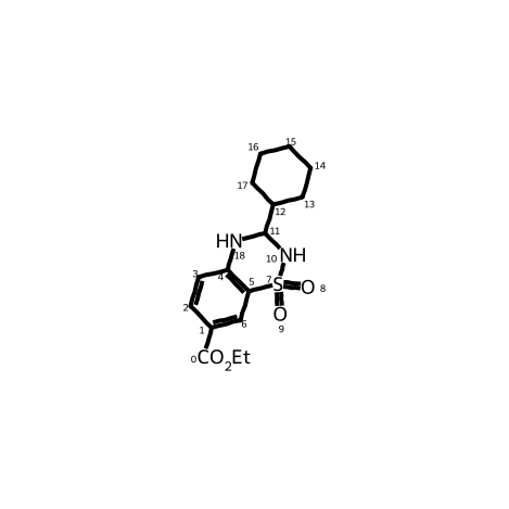 CCOC(=O)c1ccc2c(c1)S(=O)(=O)NC(C1CCCCC1)N2